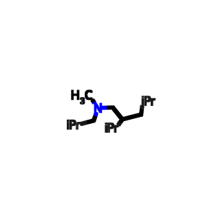 CC(C)CC(CN(C)CC(C)C)C(C)C